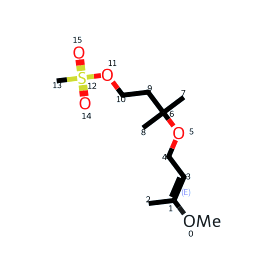 CO/C(C)=C/COC(C)(C)CCOS(C)(=O)=O